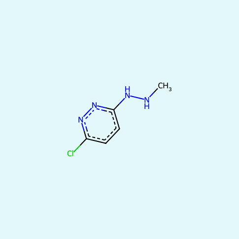 CNNc1ccc(Cl)nn1